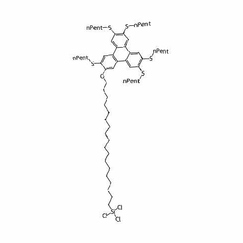 CCCCCSc1cc2c(cc1OCCCCCCCCCCCCCCCCCC[Si](Cl)(Cl)Cl)c1cc(SCCCCC)c(SCCCCC)cc1c1cc(SCCCCC)c(SCCCCC)cc21